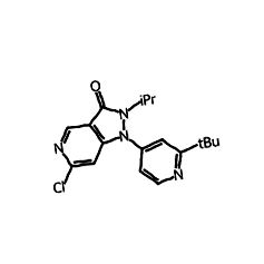 CC(C)n1c(=O)c2cnc(Cl)cc2n1-c1ccnc(C(C)(C)C)c1